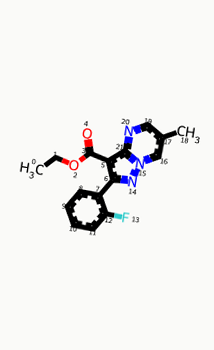 CCOC(=O)c1c(-c2ccccc2F)nn2cc(C)cnc12